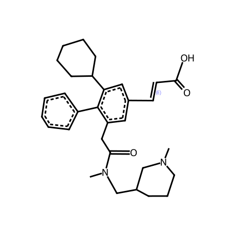 CN1CCCC(CN(C)C(=O)Cc2cc(/C=C/C(=O)O)cc(C3CCCCC3)c2-c2ccccc2)C1